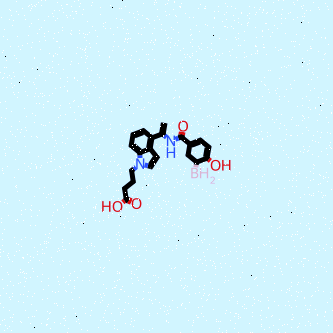 BC1CC(C(=O)NC(=C)c2cccc3c2ccn3CCCC(=O)O)=CC=C1O